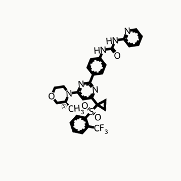 C[C@H]1COCCN1c1cc(C2(S(=O)(=O)c3ccccc3C(F)(F)F)CC2)nc(-c2ccc(NC(=O)Nc3ccccn3)cc2)n1